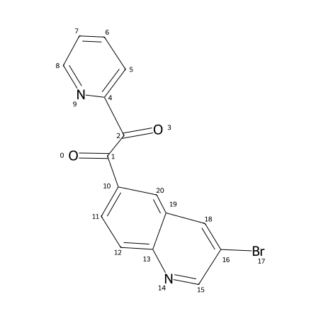 O=C(C(=O)c1ccccn1)c1ccc2ncc(Br)cc2c1